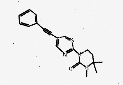 CN1C(=O)N(c2ncc(C#Cc3ccccc3)cn2)CCC1(C)C